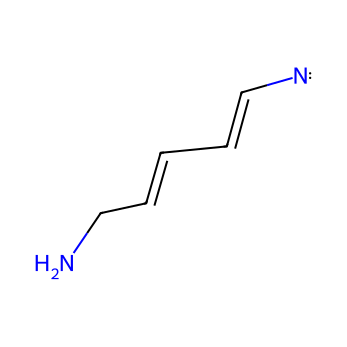 [N]C=CC=CCN